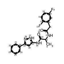 CC(NC(=O)Cc1cc(F)ccc1F)C(=O)Nc1cc(-c2ccccc2)n[nH]1